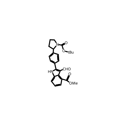 COC(=O)c1cccc2[nH]c(-c3ccc(C4CCCN4C(=O)OC(C)(C)C)cc3)c(C=O)c12